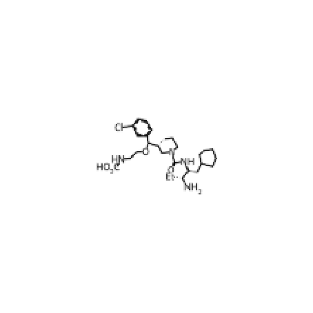 CC[C@@H](N)[C@H](CC1CCCCC1)NC(=O)N1CCC[C@@H]([C@@H](OCCNC(=O)O)c2cccc(Cl)c2)C1